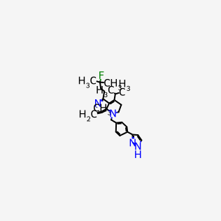 C=C=C1C(/C(CCC(C)(C)F)=N\C)=C(C(C)C)CCN1Cc1ccc(-c2cc[nH]n2)cc1